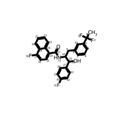 CC(F)(F)c1cccc(CC(NC(=O)c2ccc(F)c3ccccc23)C(O)c2ccc(F)cc2)c1